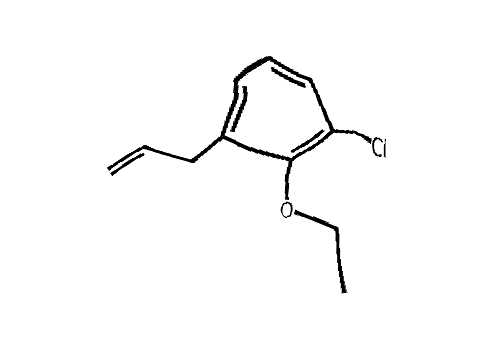 C=CCc1cccc(Cl)c1OCC